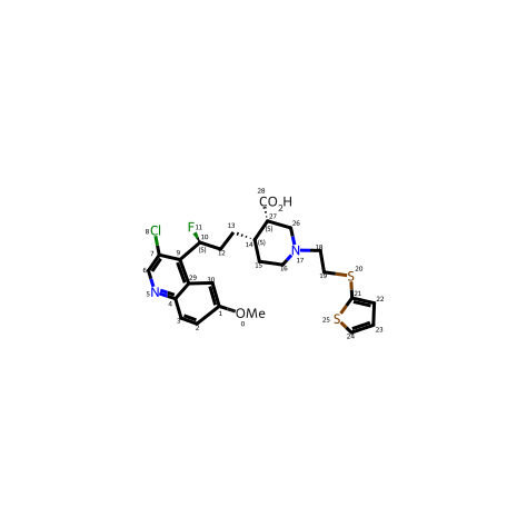 COc1ccc2ncc(Cl)c([C@@H](F)CC[C@H]3CCN(CCSc4cccs4)C[C@H]3C(=O)O)c2c1